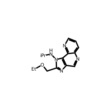 CCOCc1nc2cnc3cccnc3c2n1NC(C)C